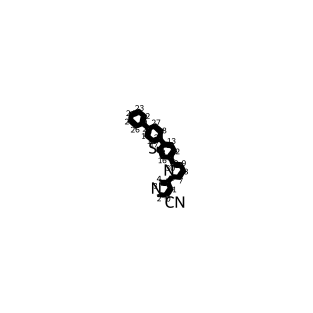 N#Cc1cncc(-c2cccc(-c3ccc4c(c3)sc3cc(-c5ccccc5)ccc34)n2)c1